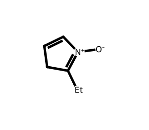 CCC1=[N+]([O-])C=CC1